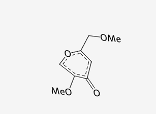 COCc1cc(=O)c(OC)co1